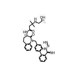 C[C@@H](O)CNC(C)(C)CC(=O)N[C@@H]1CCc2ccccc2N(Cc2ccc(-c3ccccc3C(=N)NN=N)cc2)C1=O